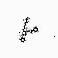 O=C(CCCCC[C@H](NC(=O)Nc1ccccc1)C(=O)Nc1nc(-c2ccccc2)cs1)NO